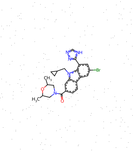 CC1CN(C(=O)c2ccc3c4cc(Br)cc(-c5nnc[nH]5)c4n(CC4CC4)c3c2)CC(C)O1